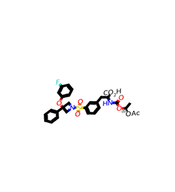 CC(=O)O[C@H](C)OC(=O)NC(Cc1cccc(S(=O)(=O)N2CC(Oc3cccc(F)c3)(c3ccccc3)C2)c1)C(=O)O